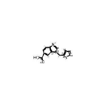 O=C(O)c1ccc2ncn(Cc3cncs3)c2c1